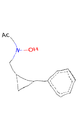 CC(=O)N(O)CC1CC1c1ccccc1